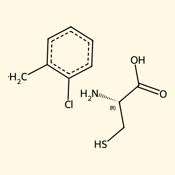 N[C@@H](CS)C(=O)O.[CH2]c1ccccc1Cl